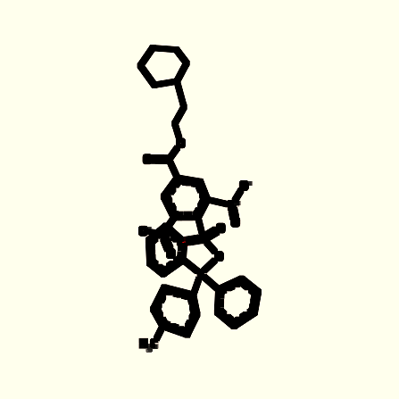 Cc1ccc(S(OS(=O)(=O)c2c([N+](=O)[O-])cc(C(=O)OCCC3CCCCC3)cc2[N+](=O)[O-])(c2ccccc2)c2ccccc2)cc1